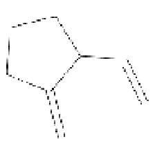 C=CC1CCCC1=C